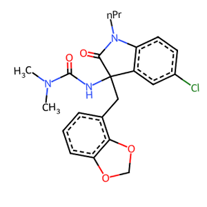 CCCN1C(=O)C(Cc2cccc3c2OCO3)(NC(=O)N(C)C)c2cc(Cl)ccc21